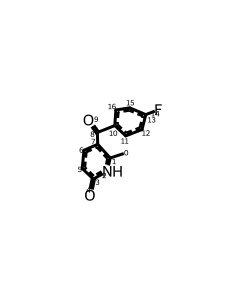 Cc1[nH]c(=O)ccc1C(=O)c1ccc(F)cc1